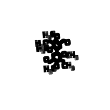 CCc1c(OC)c(C=O)cc(-c2cc(C=O)c(OC)c(CC)c2OC)c1OC